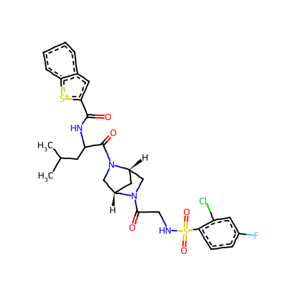 CC(C)CC(NC(=O)c1cc2ccccc2s1)C(=O)N1C[C@@H]2C[C@H]1CN2C(=O)CNS(=O)(=O)c1ccc(F)cc1Cl